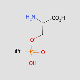 CC(C)P(=O)(O)OCC(N)C(=O)O